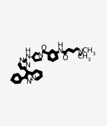 CN(C)C/C=C/C(=O)Nc1cccc(C(=O)N2CC[C@H](Nc3nccc(-c4c(-c5ccccc5)nn5ccccc45)n3)C2)c1